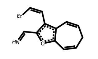 CC/C=C\c1c(C=N)oc2c1C=CCC=C2